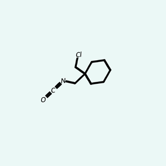 O=C=NCC1(CCl)CCCCC1